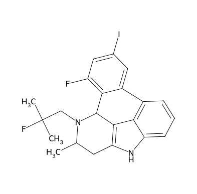 CC1Cc2[nH]c3cccc4c3c2C(c2c(F)cc(I)cc2-4)N1CC(C)(C)F